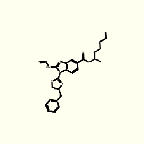 CCCCCC(C)OC(=O)c1ccc2c(c1)nc(NC=O)n2C1=NC(Cc2ccccc2)CS1